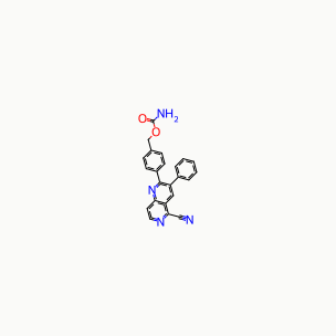 N#Cc1nccc2nc(-c3ccc(COC(N)=O)cc3)c(-c3ccccc3)cc12